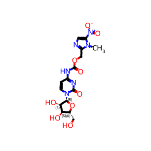 Cn1c([N+](=O)[O-])cnc1COC(=O)Nc1ccn([C@@H]2O[C@H](CO)[C@@H](O)[C@@H]2O)c(=O)n1